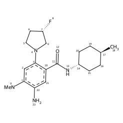 CNc1cc(N2CC[C@H](F)C2)c(C(=O)N[C@H]2CC[C@H](C)CC2)cc1N